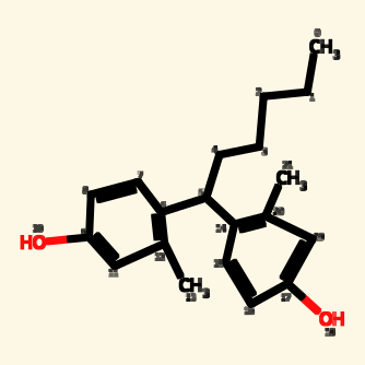 CCCCCC(c1ccc(O)cc1C)c1ccc(O)cc1C